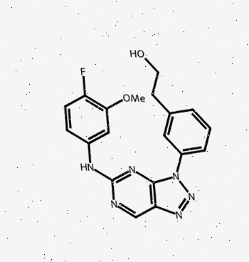 COc1cc(Nc2ncc3nnn(-c4cccc(CCO)c4)c3n2)ccc1F